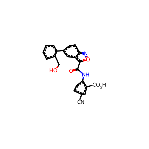 N#Cc1ccc(NC(=O)c2onc3ccc(-c4ccccc4CO)cc23)c(C(=O)O)c1